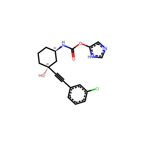 O=C(N[C@@H]1CCC[C@](O)(C#Cc2cccc(Cl)c2)C1)Oc1cnc[nH]1